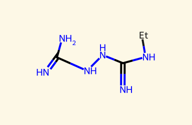 CCNC(=N)NNC(=N)N